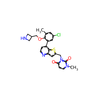 Cc1cc(Cl)cc(-c2ccnc3cc(Cn4c(=O)ccn(C)c4=O)sc23)c1OCC1CNC1